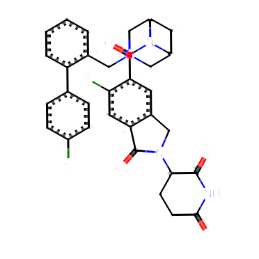 O=C1CCC(N2Cc3cc(C(=O)N4C5CC4CN(Cc4ccccc4-c4ccc(Cl)cc4)C5)c(F)cc3C2=O)C(=O)N1